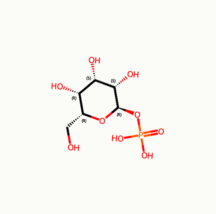 O=P(O)(O)O[C@H]1O[C@H](CO)[C@H](O)[C@H](O)[C@@H]1O